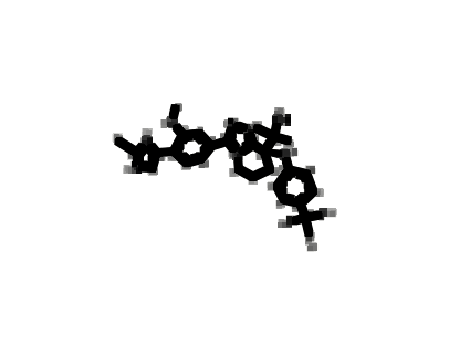 COc1cc(-c2nnc3n2CCC[C@@]3(Oc2ccc(C(F)(F)F)cc2)C(C)(C)O)ccc1-c1cnc(C)o1